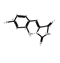 O=C1NC(=S)C(=Cc2ccc(F)cc2O)S1